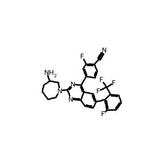 N#Cc1ccc(-c2nc(N3CCCCC(N)C3)nc3ccc(-c4c(F)cccc4C(F)(F)F)cc23)cc1F